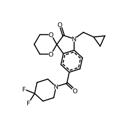 O=C(c1ccc2c(c1)C1(OCCCO1)C(=O)N2CC1CC1)N1CCC(F)(F)CC1